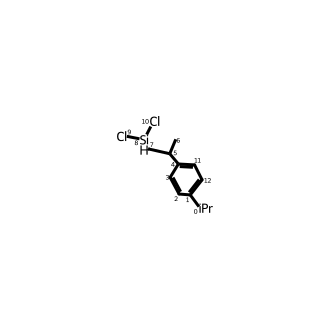 CC(C)c1ccc(C(C)C[SiH](Cl)Cl)cc1